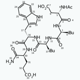 CCC(C)[C@H](NC(=O)[C@H](CC(=O)O)NC(C)=O)C(=O)N[C@H](C(=O)N[C@@H](Cc1c[nH]c2ccccc12)C(=O)N[C@@H](CCC(=O)O)C(N)=O)C(C)CC